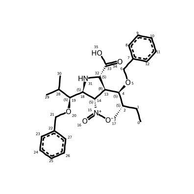 CC[C@H](C)[C@H](OCc1ccccc1)[C@H]1[C@H]([N+](=O)[O-])[C@@H]([C@@H](OCc2ccccc2)C(C)C)N[C@@H]1C(=O)O